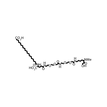 CN[C@@H](CCCCNC(=O)COCCOCCNC(=O)COCCOCCNC(=O)CC[C@H](NC(=O)CCCCCCCCCCCCCCCCCCC(=O)O)C(=O)O)C(=O)CO